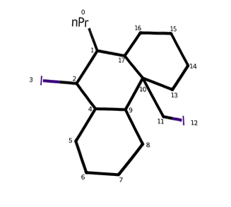 CCCC1C(I)C2CCCCC2C2(CI)CCCCC12